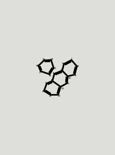 c1ccc2cc3ccccc3cc2c1.c1ccccc1